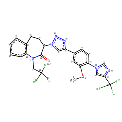 COc1cc(-c2cn(C3CCc4ccccc4N(CC(F)(F)F)C3=O)nn2)ccc1-n1cnc(C(F)(F)F)c1